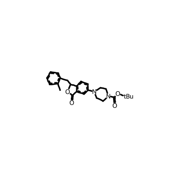 Cc1ccccc1CC1OC(=O)c2cc(N3CCN(C(=O)OC(C)(C)C)CC3)ccc21